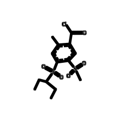 CCC(CC)S(=O)(=O)c1cc(C)c(C(=O)Cl)cc1S(C)(=O)=O